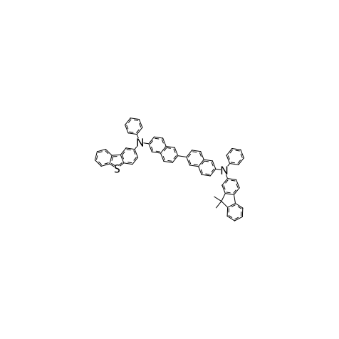 CC1(C)c2ccccc2-c2ccc(N(c3ccccc3)c3ccc4cc(-c5ccc6cc(N(c7ccccc7)c7ccc8sc9ccccc9c8c7)ccc6c5)ccc4c3)cc21